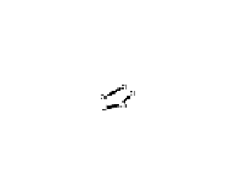 [Cl][Zn].[Cl][Zn][Cl]